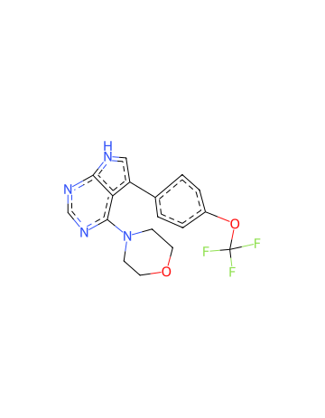 FC(F)(F)Oc1ccc(-c2c[nH]c3ncnc(N4CCOCC4)c23)cc1